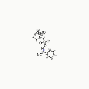 CC1(C)C2CCC1(CS(=O)(=O)O/N=C(/C#N)c1ccccc1)C(=O)C2